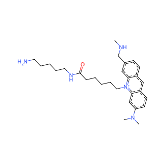 CNCc1ccc2cc3ccc(N(C)C)cc3[n+](CCCCCC(=O)NCCCCCN)c2c1